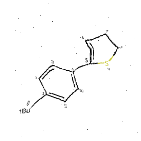 CC(C)(C)c1ccc(C2=CCCS2)cc1